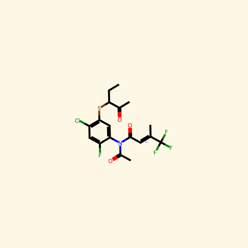 CCC(Sc1cc(N(C(C)=O)C(=O)/C=C(\C)C(F)(F)F)c(F)cc1Cl)C(C)=O